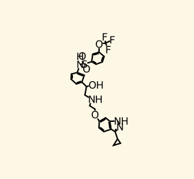 O=S(=O)(Nc1cccc(C(O)CNCCOc2ccc3c(C4CC4)n[nH]c3c2)c1)c1cccc(OC(F)(F)F)c1